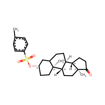 Cc1ccc(S(=O)(=O)O[C@H]2CC[C@@]3(C)C(CC[C@@H]4[C@@H]3CC[C@]3(C)C(=O)CC[C@@H]43)C2)cc1